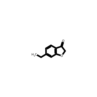 CCc1ccc2c(c1)OCC2=O